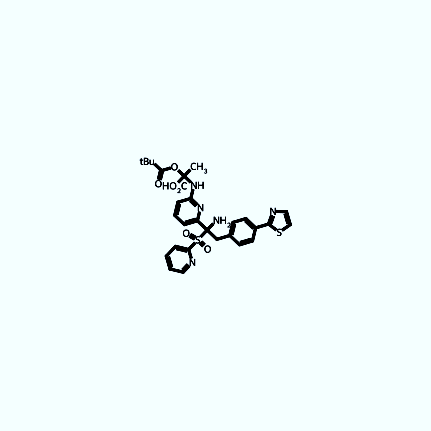 CC(C)(C)C(=O)OC(C)(Nc1cccc(C(N)(Cc2ccc(-c3nccs3)cc2)S(=O)(=O)c2ccccn2)n1)C(=O)O